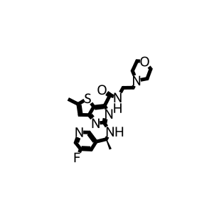 Cc1cc2nc(N[C@@H](C)c3cncc(F)c3)nc(C(=O)NCCN3CCOCC3)c2s1